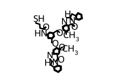 COc1cc2c(cc1OCc1cc(COc3cc4c(cc3C)C(=O)N3c5ccccc5C[C@H]3C=N4)cc(NC(=O)CCCS)c1)N=C[C@@H]1Cc3ccccc3N1C2=O